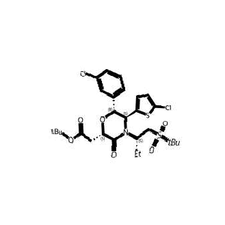 CC[C@@H](CS(=O)(=O)C(C)(C)C)N1C(=O)[C@H](CC(=O)OC(C)(C)C)O[C@H](c2cccc(Cl)c2)[C@H]1c1ccc(Cl)s1